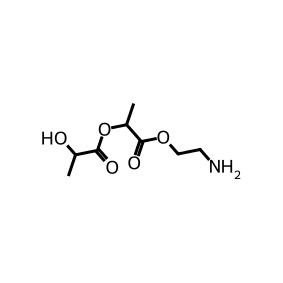 CC(O)C(=O)OC(C)C(=O)OCCN